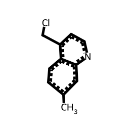 Cc1ccc2c(CCl)ccnc2c1